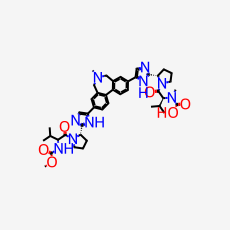 COC(=O)N[C@H](C(=O)N1CCC[C@H]1c1ncc(-c2ccc3c(c2)CN(C)Cc2cc(-c4cnc([C@@H]5CCCN5C(=O)[C@H](C(C)C)N(C)C(=O)O)[nH]4)ccc2-3)[nH]1)C(C)C